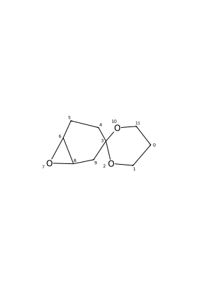 C1COC2(CCC3OC3C2)OC1